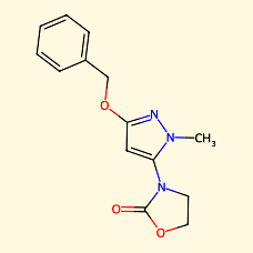 Cn1nc(OCc2ccccc2)cc1N1CCOC1=O